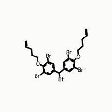 C=CCCCOc1c(Br)cc(C(CC)c2cc(Br)c(OCCCC=C)c(Br)c2)cc1Br